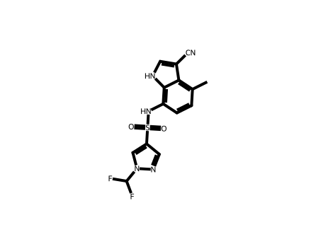 Cc1ccc(NS(=O)(=O)c2cnn(C(F)F)c2)c2[nH]cc(C#N)c12